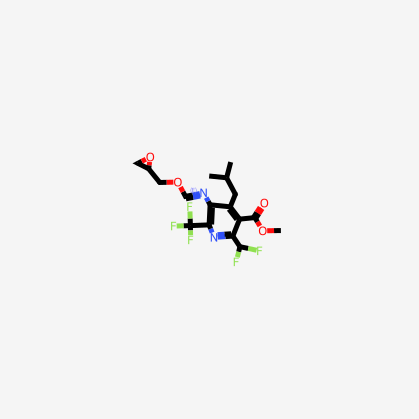 COC(=O)c1c(C(F)F)nc(C(F)(F)F)c(/N=C/OCC2CO2)c1CC(C)C